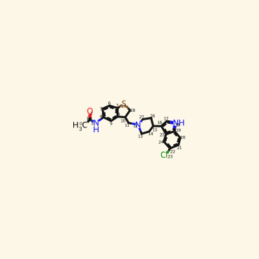 CC(=O)Nc1ccc2c(c1)C(CN1CCC(c3c[nH]c4ccc(Cl)cc34)CC1)CS2